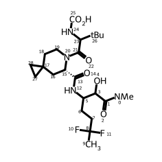 CNC(=O)C(O)C(CCC(C)(F)F)NC(=O)[C@@H]1CC2(CCN1C(=O)C(NC(=O)O)C(C)(C)C)CC2